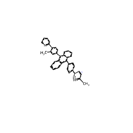 CCC(/C=C\C(C)=N)c1ccc(-c2c3ccccc3c(-c3ccc(-c4ccccn4)c(C)c3)c3ccccc23)cc1